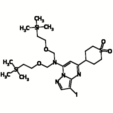 C[Si](C)(C)CCOCN(COCC[Si](C)(C)C)c1cc(C2CCS(=O)(=O)CC2)nc2c(I)cnn12